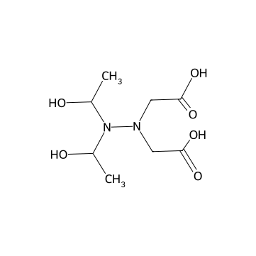 CC(O)N(C(C)O)N(CC(=O)O)CC(=O)O